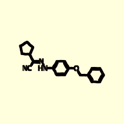 N#C/C(=N\Nc1ccc(OCc2ccccc2)cc1)C1CCCC1